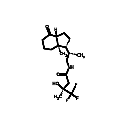 C[C@H](CNC(=O)C[C@](C)(O)C(F)(F)F)[C@H]1CC[C@H]2C(=O)CCC[C@]12C